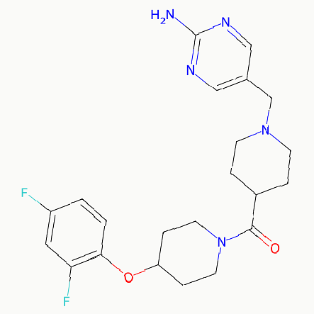 Nc1ncc(CN2CCC(C(=O)N3CCC(Oc4ccc(F)cc4F)CC3)CC2)cn1